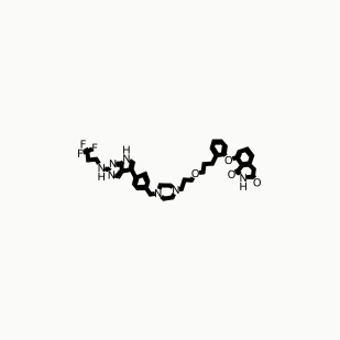 O=C1Cc2cccc(Oc3ccccc3CCCOCCCN3CCN(Cc4ccc(-c5c[nH]c6nc(NCCC(F)(F)F)ncc56)cc4)CC3)c2C(=O)N1